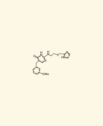 COc1cccc(Cc2cnc(NCCSCc3ncc[nH]3)[nH]c2=O)c1